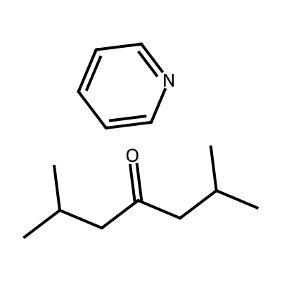 CC(C)CC(=O)CC(C)C.c1ccncc1